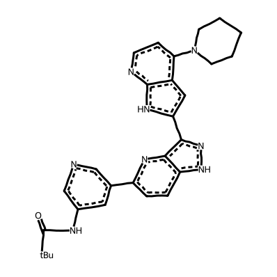 CC(C)(C)C(=O)Nc1cncc(-c2ccc3[nH]nc(-c4cc5c(N6CCCCC6)ccnc5[nH]4)c3n2)c1